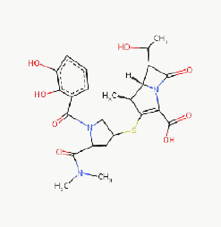 CC(O)[C@H]1C(=O)N2C(C(=O)O)=C(SC3CC(C(=O)N(C)C)N(C(=O)c4cccc(O)c4O)C3)[C@@H](C)[C@H]12